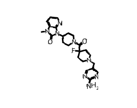 Cn1c(=O)n(C2CCN(C(=O)C3(F)CCN(Cc4cnc(N)nc4)CC3)CC2)c2ncccc21